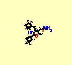 CC(=O)C(CSN)=C(Cc1ccccc1)NCc1ccccc1